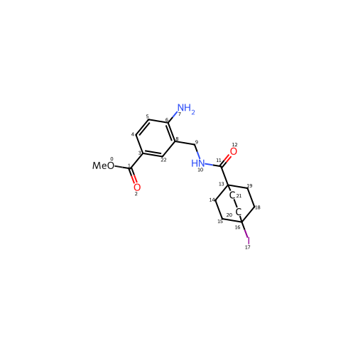 COC(=O)c1ccc(N)c(CNC(=O)C23CCC(I)(CC2)CC3)c1